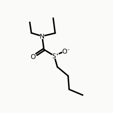 CCCC[S+]([O-])C(=O)N(CC)CC